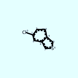 Clc1ccc2[c]scc2c1